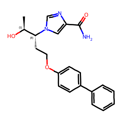 C[C@H](O)[C@@H](CCOc1ccc(-c2ccccc2)cc1)n1cnc(C(N)=O)c1